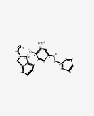 CN[C@@H]1Cc2ccccc2[C@H]1Oc1ccc(OCc2ccccc2)cc1.Cl